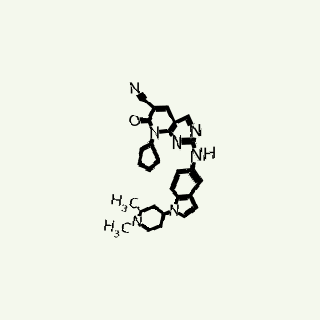 C[C@@H]1CC(n2ccc3cc(Nc4ncc5cc(C#N)c(=O)n(C6CCCC6)c5n4)ccc32)CCN1C